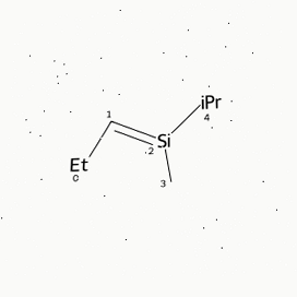 [CH2]CC=[Si](C)C(C)C